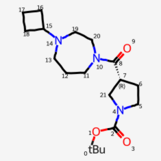 CC(C)(C)OC(=O)N1CC[C@@H](C(=O)N2CCCN(C3CCC3)CC2)C1